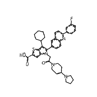 O=C(O)c1cc2c(s1)c(C1CCCCC1)c(-c1ccc3nc(-c4cccc(F)c4)ccc3c1)n2CC(=O)N1CCC(N2CCCC2)CC1